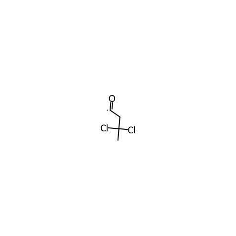 CC(Cl)(Cl)C[C]=O